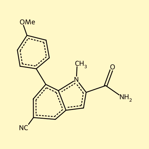 COc1ccc(-c2cc(C#N)cc3cc(C(N)=O)n(C)c23)cc1